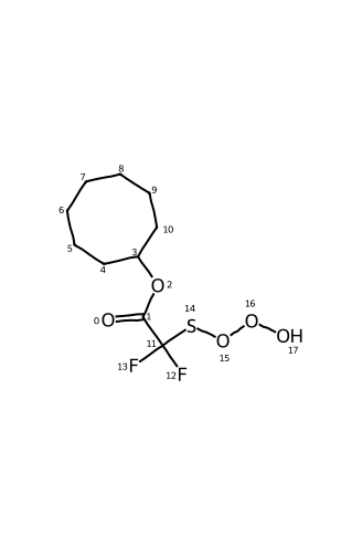 O=C(OC1CCCCCCC1)C(F)(F)SOOO